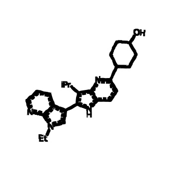 CCn1cc(-c2[nH]c3ccc(C4CCC(O)CC4)nc3c2C(C)C)c2cccnc21